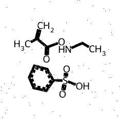 C=C(C)C(=O)ONCC.O=S(=O)(O)c1ccccc1